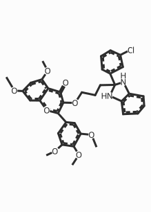 COc1cc(OC)c2c(=O)c(OCCCC3(c4cccc(Cl)c4)Nc4ccccc4N3)c(-c3cc(OC)c(OC)c(OC)c3)oc2c1